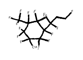 CC1(F)C(F)(F)C(F)(C(F)(F)F)C(F)(F)C(F)(C(F)(F)CCF)C1(F)F